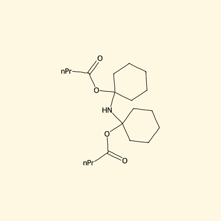 CCCC(=O)OC1(NC2(OC(=O)CCC)CCCCC2)CCCCC1